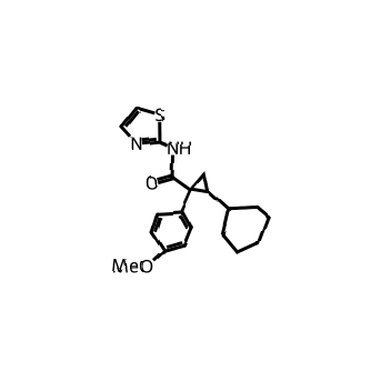 COc1ccc(C2(C(=O)Nc3nccs3)CC2C2CCCCC2)cc1